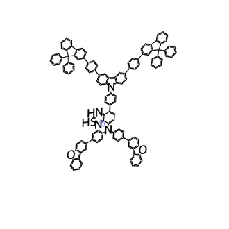 N=C1C(c2ccc(-n3c4ccc(-c5ccc(-c6ccc7c(c6)C(c6ccccc6)(c6ccccc6)c6ccccc6-7)cc5)cc4c4cc(-c5ccc(-c6ccc7c(c6)C(c6ccccc6)(c6ccccc6)c6ccccc6-7)cc5)ccc43)cc2)=CC=C(N(c2ccc(-c3ccc4oc5ccccc5c4c3)cc2)c2ccc(-c3ccc4oc5ccccc5c4c3)cc2)/C1=N/S